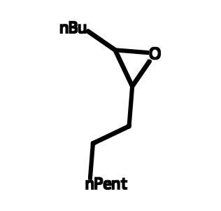 CCCCCCCC1OC1CCCC